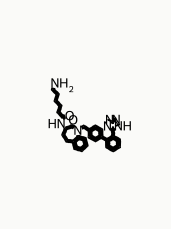 NCCCCCC(=O)NC1CCc2ccccc2N(Cc2ccc(-c3ccccc3-c3nnn[nH]3)cc2)C1=O